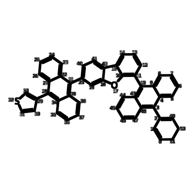 C1=CC(c2c3ccccc3c(-c3cccc4c3oc3cc(-c5c6ccccc6c(-c6ccsc6)c6ccccc56)ccc34)c3ccccc23)=CCC1